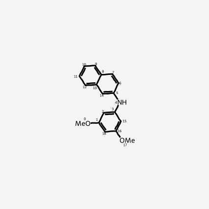 COc1cc(Nc2ccc3ccccc3c2)cc(OC)c1